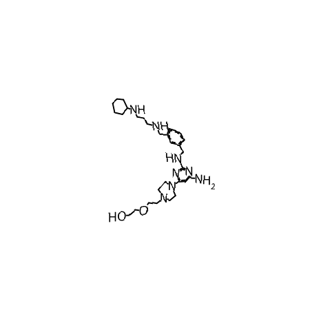 Nc1cc(N2CCN(CCOCCO)CC2)nc(NCc2cccc(CNCCCNC3CCCCC3)c2)n1